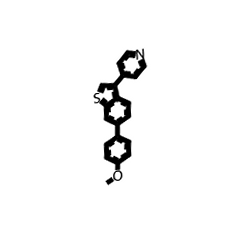 COc1ccc(-c2ccc3c(-c4ccncc4)csc3c2)cc1